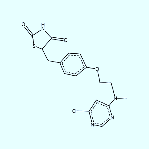 CN(CCOc1ccc(CC2SC(=O)NC2=O)cc1)c1cc(Cl)ncn1